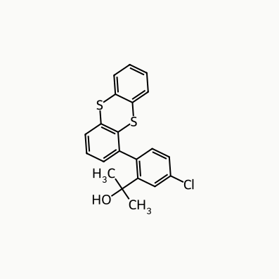 CC(C)(O)c1cc(Cl)ccc1-c1cccc2c1Sc1ccccc1S2